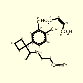 CCCOCCNC(C)C1(c2ccc(Cl)c(Cl)c2)CCC1.O=C(O)/C=C\C(=O)O